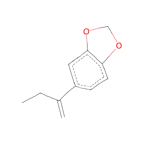 C=C(CC)c1ccc2c(c1)OCO2